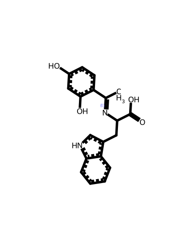 C/C(=N\C(Cc1c[nH]c2ccccc12)C(=O)O)c1ccc(O)cc1O